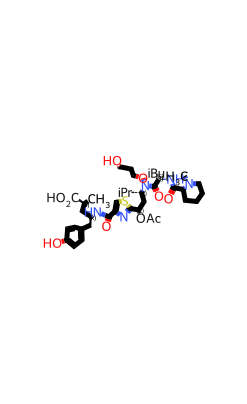 CC[C@H](C)[C@H](NC(=O)C1CCCCN1C)C(=O)N(OCCCO)[C@H](C[C@@H](OC(C)=O)c1nc(C(=O)N[C@@H](Cc2ccc(O)cc2)C[C@H](C)C(=O)O)cs1)C(C)C